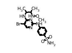 CONC(C)C(C)Nc1nc(Nc2ccc(S(N)(=O)=O)cc2)ncc1Br